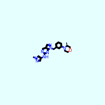 C[C@H]1COCCN1c1cccc(Cn2ncc3cnc(Nc4cnn(C)c4)nc32)c1